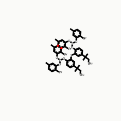 Cc1ccc(C(C)C)c(OP(Oc2ccc(C(C)(C)CC(C)(C)C)cc2Sc2cc(C(C)(C)CC(C)(C)C)ccc2OP(Oc2cc(C)ccc2C(C)C)Oc2cc(C)ccc2C(C)C)Oc2cc(C)ccc2C(C)C)c1